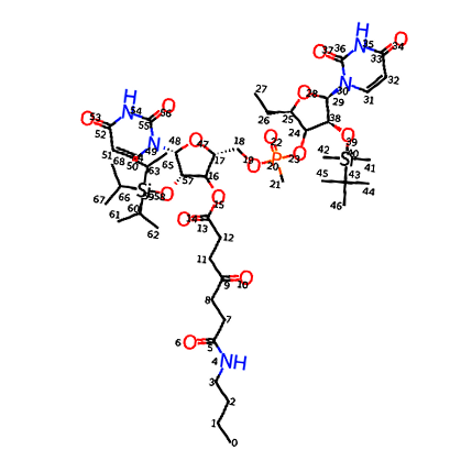 CCCCNC(=O)CCC(=O)CCC(=O)OC1[C@@H](COP(C)(=O)OC2[C@@H](CC)O[C@@H](n3ccc(=O)[nH]c3=O)[C@H]2O[Si](C)(C)C(C)(C)C)O[C@@H](n2ccc(=O)[nH]c2=O)[C@H]1O[Si](C(C)C)(C(C)C)C(C)C